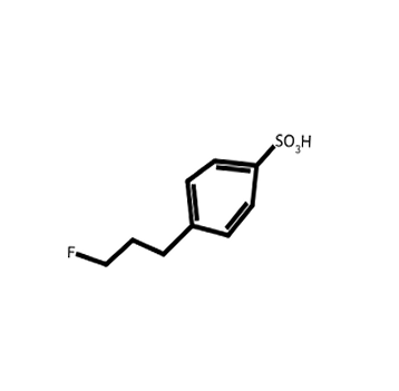 O=S(=O)(O)c1ccc(CCCF)cc1